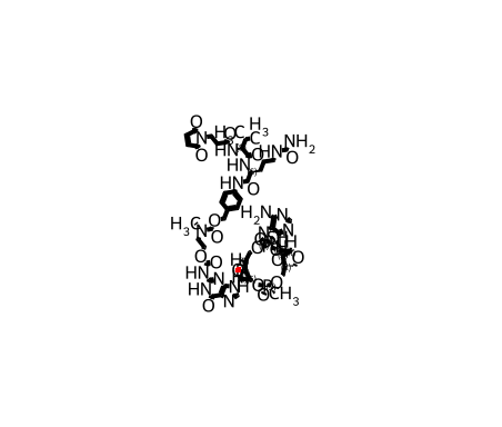 CC(C)[C@H](NC(=O)CCN1C(=O)C=CC1=O)C(=O)N[C@@H](CCCNC(N)=O)C(=O)Nc1ccc(COC(=O)N(C)CCOC(=O)Nc2nc3c(ncn3[C@@H]3O[C@@H]4CO[P@@](=O)(S)O[C@H]5[C@H]6OC[C@]5(CO[P@](C)(=O)O[C@@H]3[C@@H]4F)O[C@H]6n3cnc4c(N)ncnc43)c(=O)[nH]2)cc1